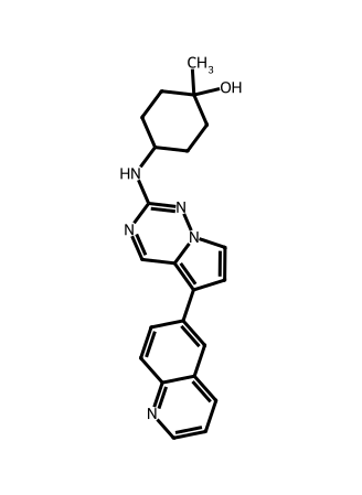 CC1(O)CCC(Nc2ncc3c(-c4ccc5ncccc5c4)ccn3n2)CC1